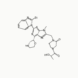 CCc1nc2ccccc2n1-c1nc(C2CNCCO2)c2nc(CN3CCN(C(=O)C(C)O)CC3=O)n(C)c2n1